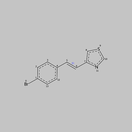 Brc1ccc(/C=C/c2cscn2)cc1